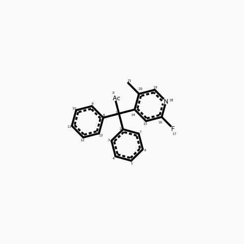 CC(=O)C(c1ccccc1)(c1ccccc1)c1cc(F)ncc1C